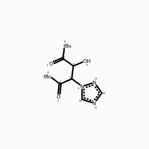 CC(C)(C)C(=O)C(O)C(C(=O)C(C)(C)C)n1cncn1